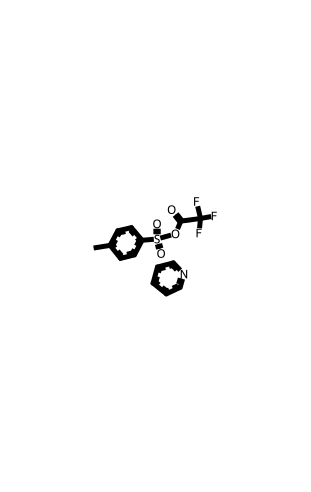 Cc1ccc(S(=O)(=O)OC(=O)C(F)(F)F)cc1.c1ccncc1